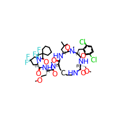 COCC[C@H](NC(=O)[C@@H]1CC(F)(F)CN1C(=O)C1(C(F)(F)F)CCCCC1)C(=O)N(C)[C@H]1CCCCNC(=O)[C@@H](COC)NC(=O)[C@H](Cc2cc(Cl)ccc2Cl)N(C)C(=O)[C@H](CC(C)C)NC1=O